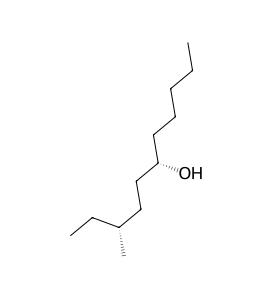 CCCCC[C@H](O)CC[C@H](C)CC